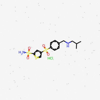 CC(C)CNCc1ccc(S(=O)(=O)c2csc(S(N)(=O)=O)c2)cc1.Cl